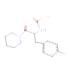 O=C(O)NC(Cc1ccc(I)cc1)C(=O)N1CCCCC1